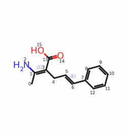 C/C(N)=C(\C/C=C/c1ccccc1)C(=O)O